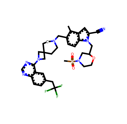 Cc1c(CN2CCC3(CC2)CN(c2ncnc4ccc(CC(F)(F)F)cc24)C3)ccc2c1cc(C#N)n2CC1CN(S(C)(=O)=O)CCO1